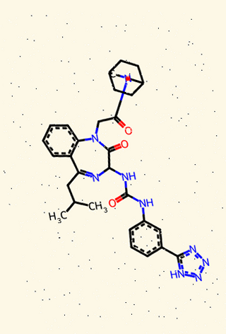 CC(C)CC1=NC(NC(=O)Nc2cccc(-c3nnn[nH]3)c2)C(=O)N(CC(=O)N2CC3CCC(CC3)C2)c2ccccc21